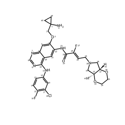 NC1(COc2cc3ncnc(Nc4ccc(F)c(Cl)c4)c3cc2NC(=O)/C(F)=C/CN2C[C@@H]3OCCO[C@H]3C2)CC1